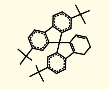 CC(C)(C)c1ccc2c(c1)C1(C3=C2CCC=C3)c2cc(C(C)(C)C)ccc2-c2ccc(C(C)(C)C)cc21